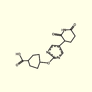 O=C1CCC(c2cnc(OC3CCC(C(=O)O)CC3)nc2)C(=O)N1